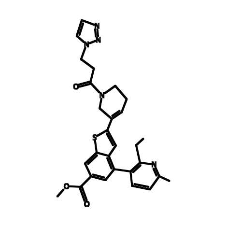 CCc1nc(C)ccc1-c1cc(C(=O)OC)cc2sc(C3=CCCN(C(=O)CCn4ccnn4)C3)cc12